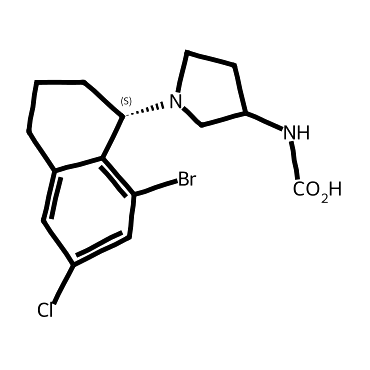 O=C(O)NC1CCN([C@H]2CCCc3cc(Cl)cc(Br)c32)C1